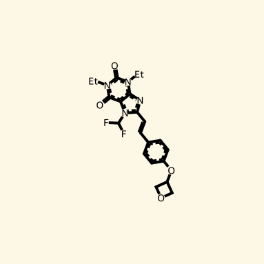 CCn1c(=O)c2c(nc(C=Cc3ccc(OC4COC4)cc3)n2C(F)F)n(CC)c1=O